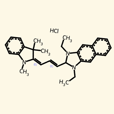 CCN1c2cc3ccccc3cc2N(CC)C1/C=C/C=C1/N(C)c2ccccc2C1(C)C.Cl